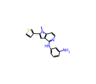 Cn1c(-c2ccsc2)cc2c(Nc3cccc(N)c3)nccc21